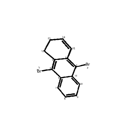 Brc1c2c(c(Br)c3ccccc13)CCC=C2